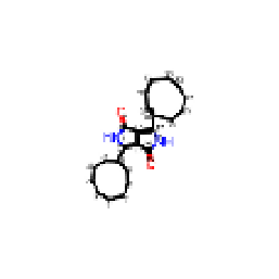 O=C1NC(C2CCCCCCCC2)=C2C(=O)NC(/C3=C/CCCCCCC3)=C12